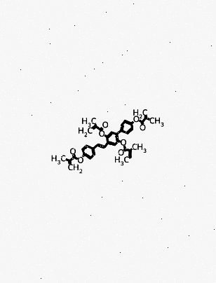 C=C(C)C(=O)Oc1ccc(/C=C/c2cc(OC(=O)/C(C)=C\C)c(-c3ccc(OC(=O)C(=C)C)cc3)cc2OC(=O)C(=C)C)cc1